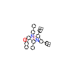 c1ccc(-c2ccc(N3B4c5c(cc(-c6ccccc6)cc5-n5c6ccc(C78CC9CC%10CC(C7)C%109C8)cc6c6cc(C78CC9CC%10CC(C7)C%109C8)cc4c65)-c4c3ccc3oc5cc6ccccc6cc5c43)cc2)cc1